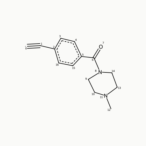 [C]#Cc1ccc(C(=O)N2CCN(C)CC2)cc1